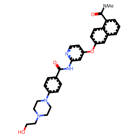 CNC(=O)c1cccc2cc(Oc3ccnc(NC(=O)c4ccc(N5CCN(CCO)CC5)cc4)c3)ccc12